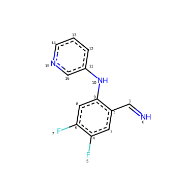 N=Cc1cc(F)c(F)cc1Nc1cccnc1